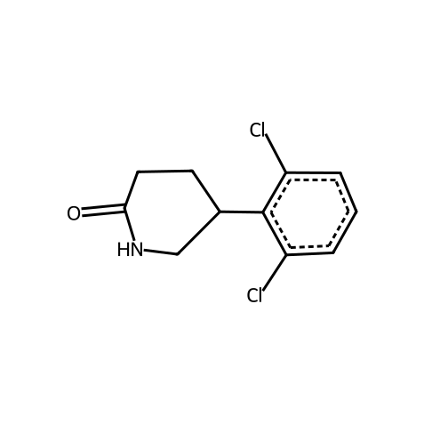 O=C1CCC(c2c(Cl)cccc2Cl)CN1